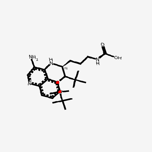 CC(C)(C)C(O[Si](C)(C)C(C)(C)C)[C@H](CCCNC(=O)O)Nc1c(N)cnc2ccccc12